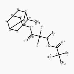 CCC(OC(=O)C(C)(C)CC)C(F)(F)C(=O)OC12CC3CC(CC(C3)C1C)C2